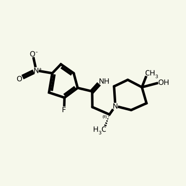 C[C@H](CC(=N)c1ccc([N+](=O)[O-])cc1F)N1CCC(C)(O)CC1